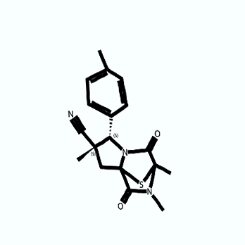 Cc1ccc([C@@H]2N3C(=O)C4(C)SC3(C[C@]2(C)C#N)C(=O)N4C)cc1